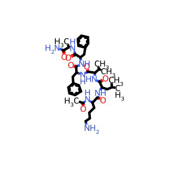 CC(=O)NC(CCCCN)C(=O)NC(CC(C)C)C(=O)NC(C(=O)NC(Cc1ccccc1)C(=O)NC(Cc1ccccc1)C(=O)NC(C)C(N)=O)C(C)C